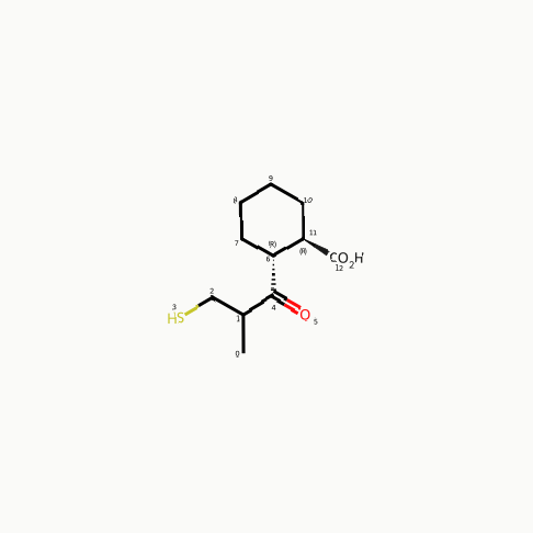 CC(CS)C(=O)[C@@H]1CCCC[C@H]1C(=O)O